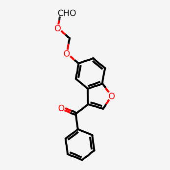 O=COCOc1ccc2occ(C(=O)c3ccccc3)c2c1